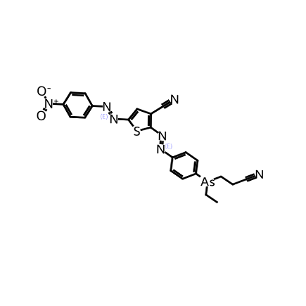 CC[As](CCC#N)c1ccc(/N=N/c2sc(/N=N/c3ccc([N+](=O)[O-])cc3)cc2C#N)cc1